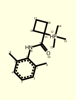 Cc1cccc(C)c1NC(=O)C1([PH](C)(C)C)CCC1